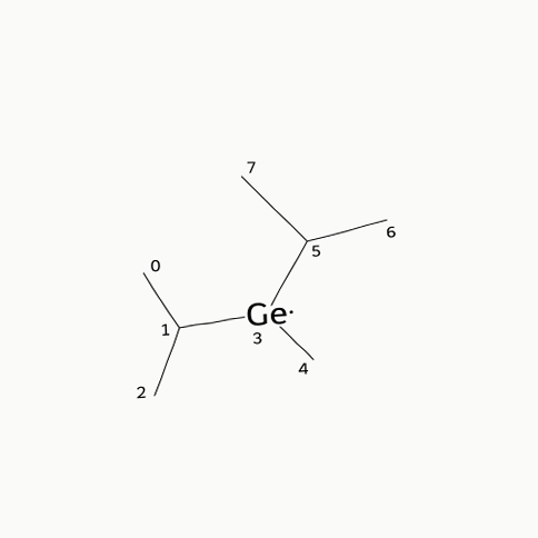 C[CH](C)[Ge]([CH3])[CH](C)C